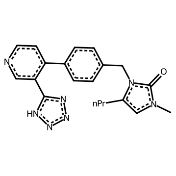 CCCc1cn(C)c(=O)n1Cc1ccc(-c2ccncc2-c2nnn[nH]2)cc1